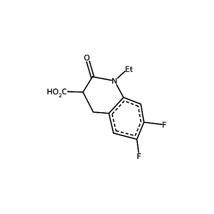 CCN1C(=O)C(C(=O)O)Cc2cc(F)c(F)cc21